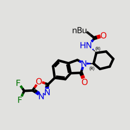 CCCCC(=O)N[C@@H]1CCCC[C@H]1N1Cc2ccc(-c3nnc(C(F)F)o3)cc2C1=O